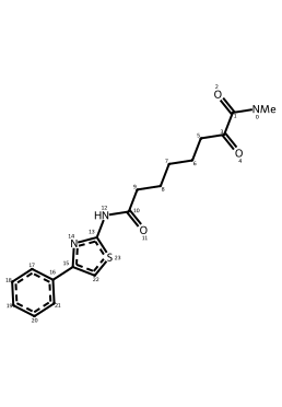 CNC(=O)C(=O)CCCCCC(=O)Nc1nc(-c2ccccc2)cs1